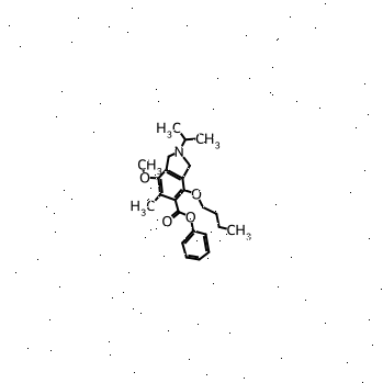 CCCCOc1c2c(c(OC)c(C)c1C(=O)Oc1ccccc1)CN(C(C)C)C2